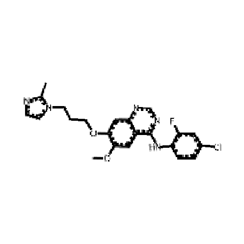 COc1cc2c(Nc3ccc(Cl)cc3F)ncnc2cc1OCCCn1ccnc1C